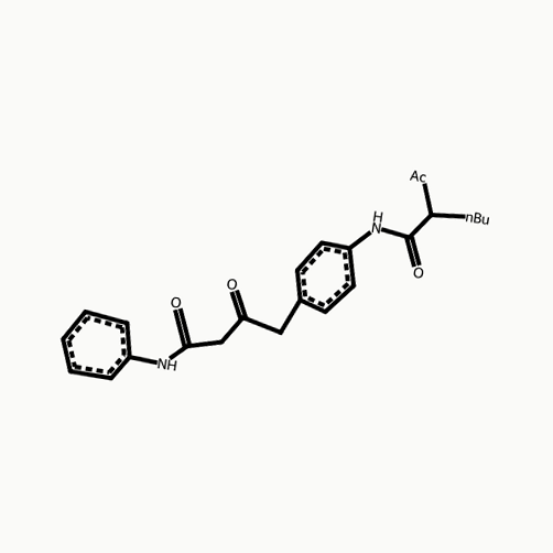 CCCCC(C(C)=O)C(=O)Nc1ccc(CC(=O)CC(=O)Nc2ccccc2)cc1